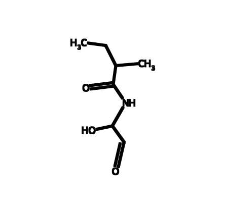 CCC(C)C(=O)NC(O)C=O